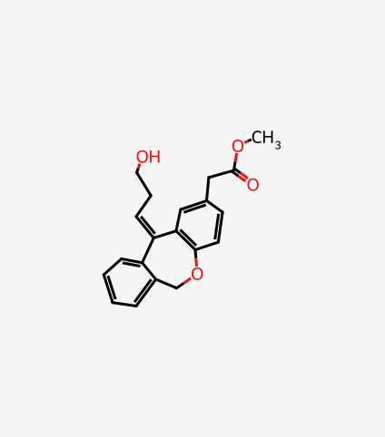 COC(=O)Cc1ccc2c(c1)C(=CCCO)c1ccccc1CO2